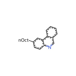 CCCCCCCCc1ccc2ncc3ccccc3c2c1